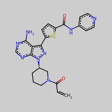 C=CC(=O)N1CCC[C@@H](n2nc(-c3ccc(C(=O)Nc4ccncc4)s3)c3c(N)ncnc32)C1